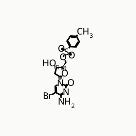 Cc1ccc(S(=O)(=O)OC[C@H]2O[C@@H](n3cc(Br)c(N)nc3=O)C[C@@H]2O)cc1